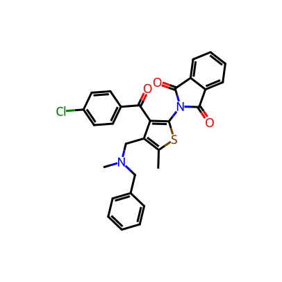 Cc1sc(N2C(=O)c3ccccc3C2=O)c(C(=O)c2ccc(Cl)cc2)c1CN(C)Cc1ccccc1